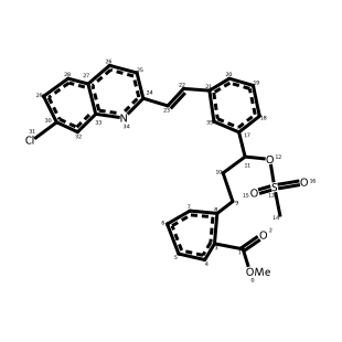 COC(=O)c1ccccc1CCC(OS(C)(=O)=O)c1cccc(/C=C/c2ccc3ccc(Cl)cc3n2)c1